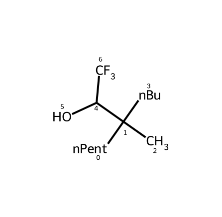 CCCCCC(C)(CCCC)C(O)C(F)(F)F